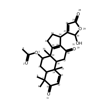 CC(=O)OC1CC2C(C)(C)C(=O)C=CC2(C)C2CC(=O)C3=C(CCC3C3=CC(=O)OC3O)C12C